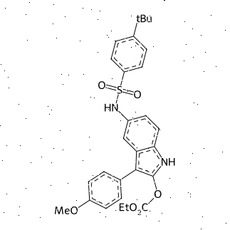 CCOC(=O)Oc1[nH]c2ccc(NS(=O)(=O)c3ccc(C(C)(C)C)cc3)cc2c1-c1ccc(OC)cc1